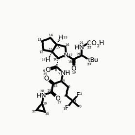 CC(F)(F)CCC(NC(=O)[C@@H]1[C@H]2CCC[C@H]2CN1C(=O)C(NC(=O)O)C(C)(C)C)C(=O)C(=O)NC1CC1